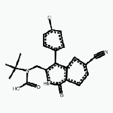 CC(C)(C)N(Cc1[nH]c(=O)c2ccc(C#N)cc2c1-c1ccc(Cl)cc1)C(=O)O